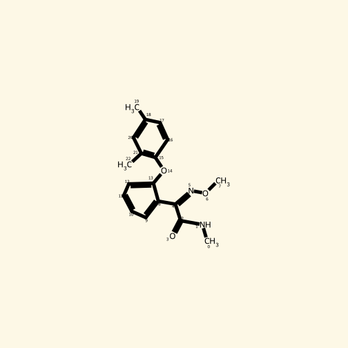 CNC(=O)C(=NOC)c1ccccc1Oc1ccc(C)cc1C